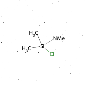 CN[Si](C)(C)Cl